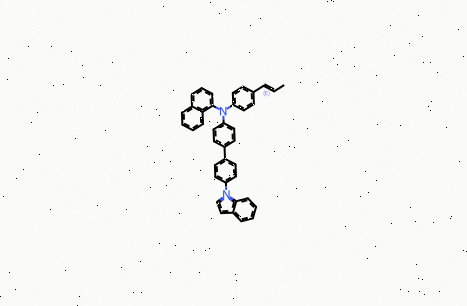 C/C=C/c1ccc(N(c2ccc(-c3ccc(-n4ccc5ccccc54)cc3)cc2)c2cccc3ccccc23)cc1